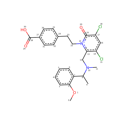 COc1ccccc1C(C)N(C)Cc1c(Cl)cc(Cl)c(=O)n1CCc1ccc(C(=O)O)cc1